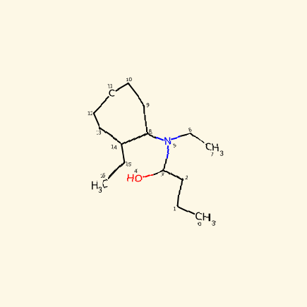 CCCC(O)N(CC)C1CCCCCC1CC